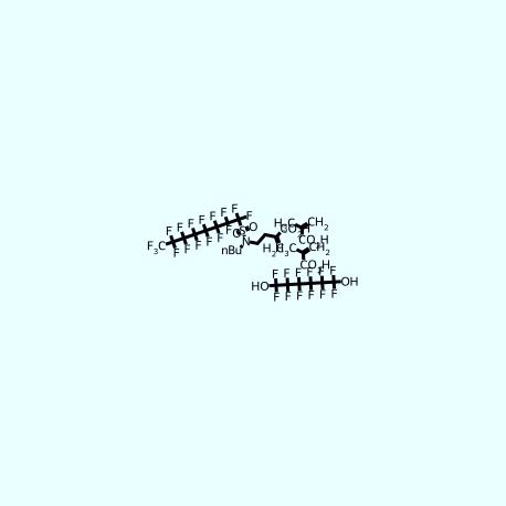 C=C(C)C(=O)O.C=C(C)C(=O)O.C=C(CCN(CCCC)S(=O)(=O)C(F)(F)C(F)(F)C(F)(F)C(F)(F)C(F)(F)C(F)(F)C(F)(F)C(F)(F)F)C(=O)O.OC(F)(F)C(F)(F)C(F)(F)C(F)(F)C(F)(F)C(O)(F)F